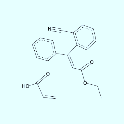 C=CC(=O)O.CCOC(=O)C=C(c1ccccc1)c1ccccc1C#N